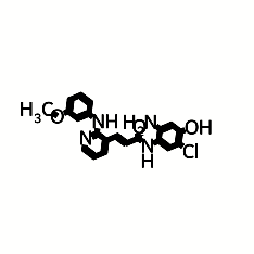 COc1cccc(Nc2ncccc2/C=C/C(=O)Nc2cc(Cl)c(O)cc2N)c1